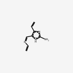 C=C/N=C\c1[nH]c(N)nc1C=C